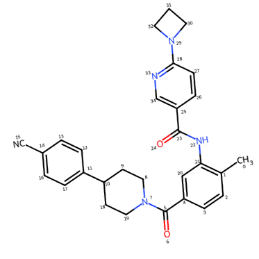 Cc1ccc(C(=O)N2CCC(c3ccc(C#N)cc3)CC2)cc1NC(=O)c1ccc(N2CCC2)nc1